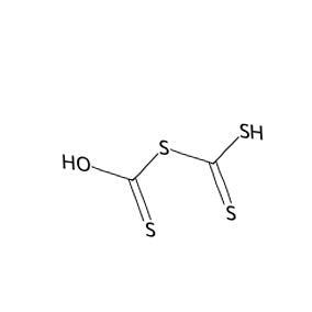 OC(=S)SC(=S)S